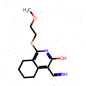 COCCSc1nc(O)c(C=N)c2c1CCCC2